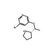 CC(Oc1cncc(Br)c1)[C@@H]1CCCN1